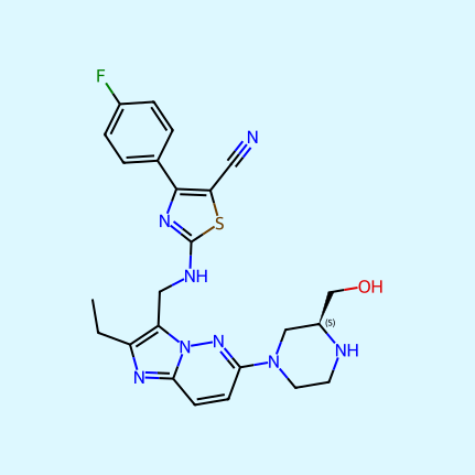 CCc1nc2ccc(N3CCN[C@H](CO)C3)nn2c1CNc1nc(-c2ccc(F)cc2)c(C#N)s1